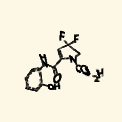 O=C(Nc1ccccc1O)C1=CC(F)(F)CN1C(=O)O